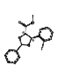 COC(=O)[C@H]1OC(c2ccccc2)O[C@@H]1c1ccccc1I